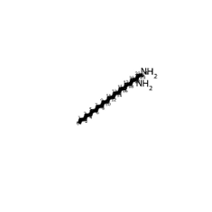 CCCCCCCCCCCCCCCCCCCCC(N)CCN